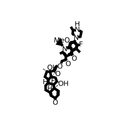 COc1c(N2CCNC(C)C2)c(F)c(C)c2c(=O)c(C(=O)COCC(=O)[C@@]3(O)[C@@H](C)C[C@H]4[C@@H]5CCC6=CC(=O)C=C[C@]6(C)[C@@]5(F)[C@@H](O)C[C@@]43C)c(C)n(C3CC3)c12